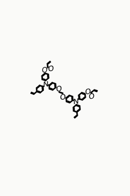 C=CC(=O)Oc1ccc(N(c2ccc(C=C)cc2)c2ccc(OCCOc3ccc(N(c4ccc(C=C)cc4)c4ccc(OC(=O)C=C)cc4)cc3)cc2)cc1